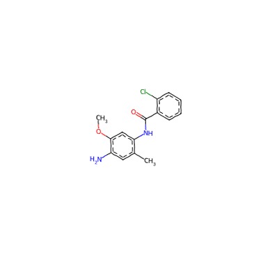 COc1cc(NC(=O)c2ccccc2Cl)c(C)cc1N